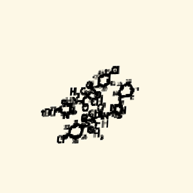 CC(C)(C(=O)Nc1nc(-c2ccccc2)ns1)S(=O)(=O)c1ccc(Cl)cc1.CC(C)(C)c1nnc(NC(=O)C(C)(C)S(=O)(=O)c2ccc(Cl)cc2)s1